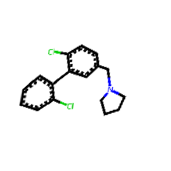 Clc1ccccc1-c1cc(CN2CCCC2)ccc1Cl